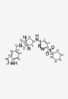 O=S(=O)(c1ccc(N[C@@H]2C[C@@H]3CN(Cc4ccc5[nH]ccc5c4)C[C@@H]3C2)nn1)C1CCCCC1